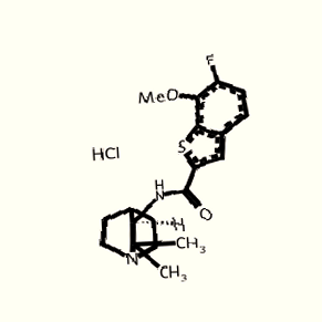 COc1c(F)ccc2cc(C(=O)N[C@@H]3C4CCN(CC4)C3(C)C)sc12.Cl